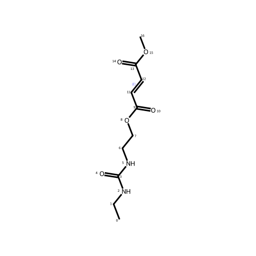 CCNC(=O)NCCOC(=O)/C=C/C(=O)OC